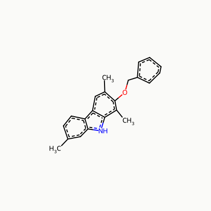 Cc1ccc2c(c1)[nH]c1c(C)c(OCc3ccccc3)c(C)cc12